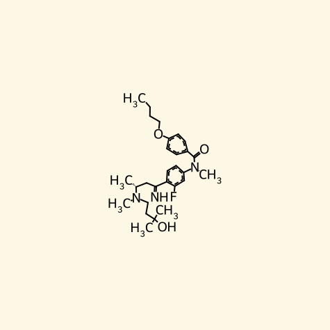 CCCCOc1ccc(C(=O)N(C)c2ccc(C(=N)C[C@@H](C)N(C)CCC(C)(C)O)c(F)c2)cc1